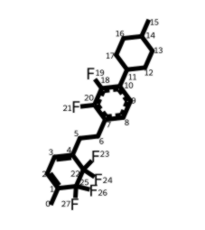 CC1=CC=C(CCc2ccc(C3CCC(C)CC3)c(F)c2F)C(F)(F)C1(F)F